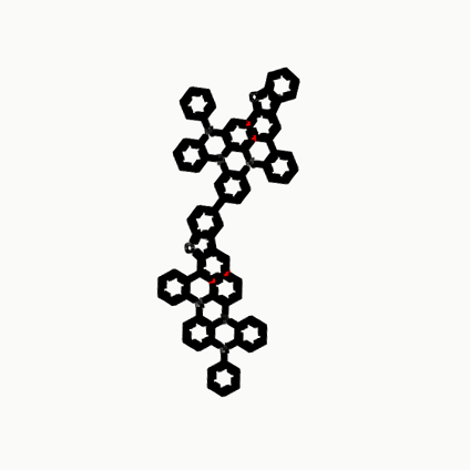 c1ccc(N2c3ccccc3B3c4cc(-c5ccc6oc7c(-c8ccccc8N8c9ccccc9B9c%10ccccc%10N(c%10ccccc%10)c%10cccc8c%109)cccc7c6c5)ccc4N(c4ccccc4-c4ccc5oc6ccccc6c5c4)c4cccc2c43)cc1